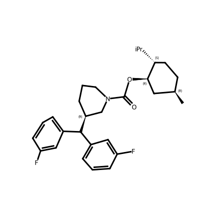 CC(C)[C@@H]1CC[C@@H](C)C[C@H]1OC(=O)N1CCC[C@H](C(c2cccc(F)c2)c2cccc(F)c2)C1